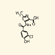 Cc1nc(C(=O)O)c(NC(=O)c2ccc(O)c(Cl)c2)s1